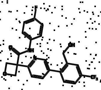 O=C(Nc1ccc(F)cc1)C1(c2ccc(-c3ccc(C(F)(F)F)cc3CO)cn2)COC1